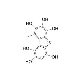 Cc1c(O)c(O)c(O)c2sc3c(O)cc(O)c(O)c3c12